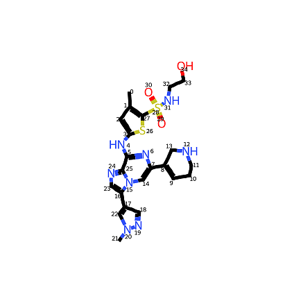 Cc1cc(Nc2nc(C3=CCCNC3)cn3c(-c4cnn(C)c4)cnc23)sc1S(=O)(=O)NCCO